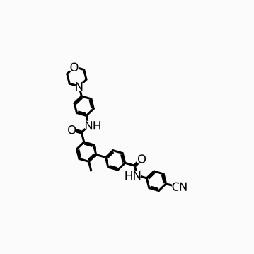 Cc1ccc(C(=O)Nc2ccc(N3CCOCC3)cc2)cc1-c1ccc(C(=O)Nc2ccc(C#N)cc2)cc1